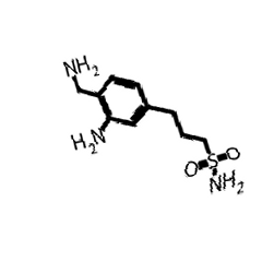 NCc1ccc(CCCS(N)(=O)=O)cc1N